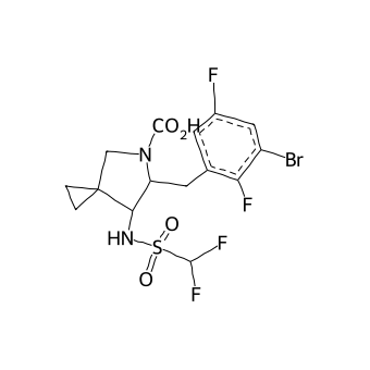 O=C(O)N1CC2(CC2)C(NS(=O)(=O)C(F)F)C1Cc1cc(F)cc(Br)c1F